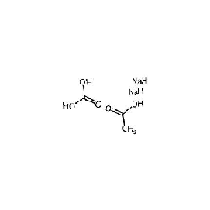 CC(=O)O.O=C(O)O.[NaH].[NaH]